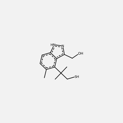 Cc1ccc2[nH]nc(CO)c2c1C(C)(C)CS